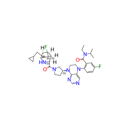 CCN(C(=O)c1cc(F)ccc1N1CCN([C@H]2CCN(C(=O)[C@H]3NC4CC[C@@H]3[C@H](F)[C@@H]4CC3CC3)C2)c2ncncc21)C(C)C